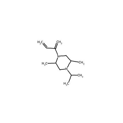 C=CC(=C)N1CC(C)N(C(C)C)CC1C